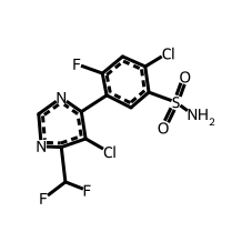 NS(=O)(=O)c1cc(-c2ncnc(C(F)F)c2Cl)c(F)cc1Cl